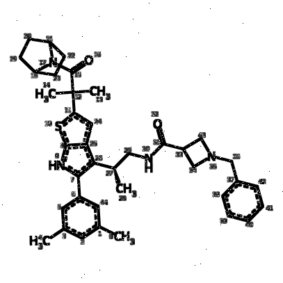 Cc1cc(C)cc(-c2[nH]c3sc(C(C)(C)C(=O)N4C5CCC4CC5)cc3c2[C@H](C)CNC(=O)C2CN(Cc3ccccc3)C2)c1